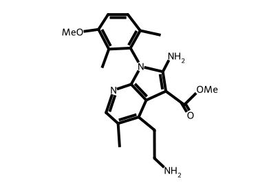 COC(=O)c1c(N)n(-c2c(C)ccc(OC)c2C)c2ncc(C)c(CCN)c12